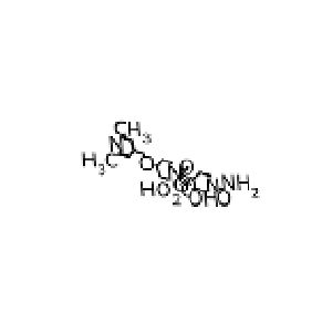 Cc1cc(COC2CCN(S(=O)(=O)C3CCN(C(N)=O)CC3(O)C(=O)O)CC2)cc(C)n1